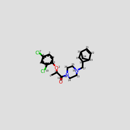 CC(Oc1ccc(Cl)cc1Cl)C(=O)N1CCN(CC2CC3C=CC2C3)CC1